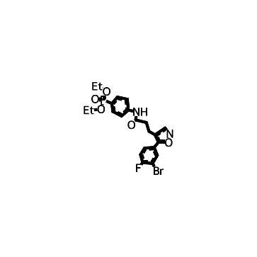 CCOP(=O)(OCC)c1ccc(NC(=O)CCc2cnoc2-c2ccc(F)c(Br)c2)cc1